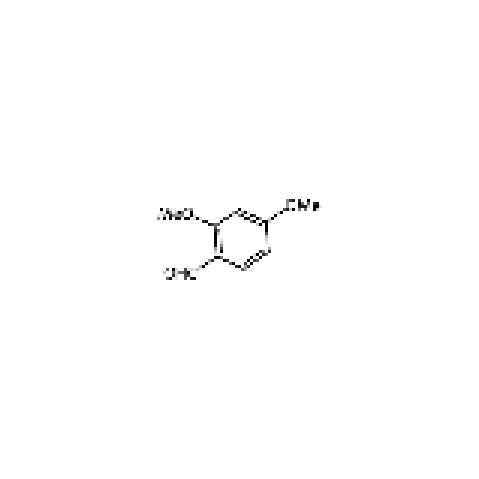 [CH2]Oc1ccc(C=O)c(OC)c1